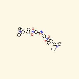 CCn1c2ccccc2c2cc(-c3ccc4c5c(cccc35)C(=O)N(c3ccc(-c5nnc(-c6ccc(N7C(=O)c8cccc9c(-c%10ccc%11c(c%10)c%10ccccc%10n%11CC)ccc(c89)C7=O)cc6)o5)cc3)C4=O)ccc21